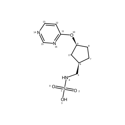 O=S(=O)(O)NC[C@@H]1CC[C@H](Oc2ccncn2)C1